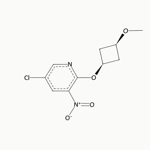 CO[C@H]1C[C@@H](Oc2ncc(Cl)cc2[N+](=O)[O-])C1